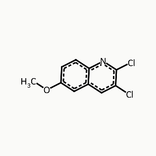 COc1ccc2nc(Cl)c(Cl)cc2c1